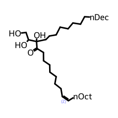 CCCCCCCC/C=C\CCCCCCCC(=O)C(O)(CCCCCCCCCCCCCCCCCC)C(O)CO